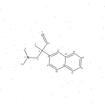 CN(C)CC(C)([C]=O)c1ccc2ccccc2c1